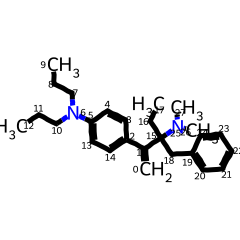 C=C(c1ccc(N(CCC)CCC)cc1)C(CC)(Cc1ccccc1)N(C)C